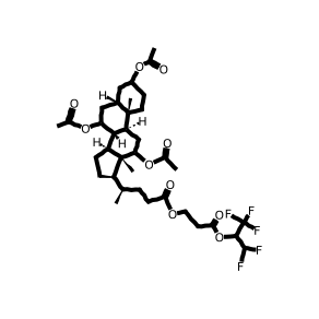 CC(=O)OC1CC[C@@]2(C)[C@@H](C1)CC(OC(C)=O)[C@@H]1[C@@H]2CC(OC(C)=O)[C@]2(C)[C@@H]([C@H](C)CCC(=O)OCCC(=O)OC(C(F)F)C(F)(F)F)CC[C@@H]12